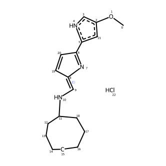 COc1c[nH]c(C2=N/C(=C/NC3CCCCCCC3)C=C2)c1.Cl